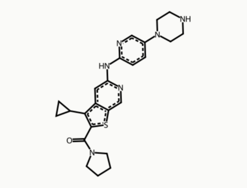 O=C(c1sc2cnc(Nc3ccc(N4CCNCC4)cn3)cc2c1C1CC1)N1CCCC1